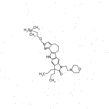 CCCC1(CCC)C(=O)N(CCN2CCOCC2)c2cc3c4c([nH]c3cc21)-c1nn(COCC[Si](C)(C)C)cc1CCC4